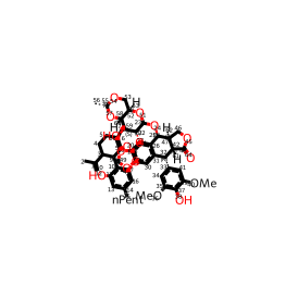 C=C(C)C1CCC(C)=CC1c1c(O)cc(CCCCC)cc1OC(=O)O[C@H]1C(O[C@@H]2c3cc4c(cc3[C@@H](c3cc(OC)c(O)c(OC)c3)[C@H]3C(=O)OC[C@@H]32)OCO4)O[C@@H]2CO[C@@H](C)O[C@H]2[C@@H]1O